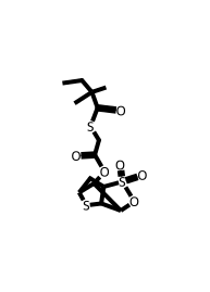 CCC(C)(C)C(=O)SCC(=O)OC1C2CC3C(S2)C1OS3(=O)=O